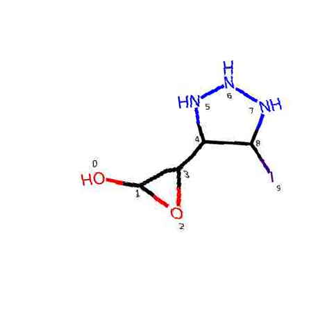 OC1OC1C1NNNC1I